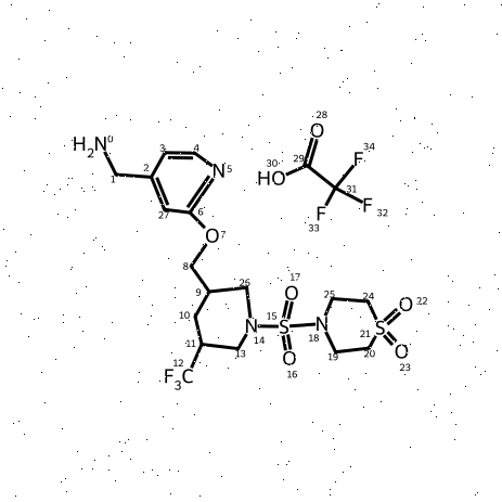 NCc1ccnc(OCC2CC(C(F)(F)F)CN(S(=O)(=O)N3CCS(=O)(=O)CC3)C2)c1.O=C(O)C(F)(F)F